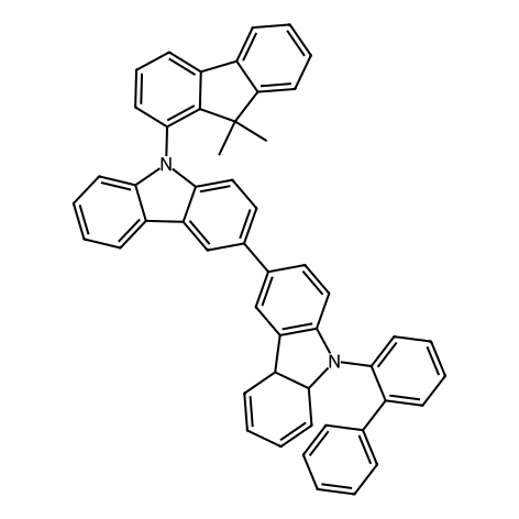 CC1(C)c2ccccc2-c2cccc(-n3c4ccccc4c4cc(-c5ccc6c(c5)C5C=CC=CC5N6c5ccccc5-c5ccccc5)ccc43)c21